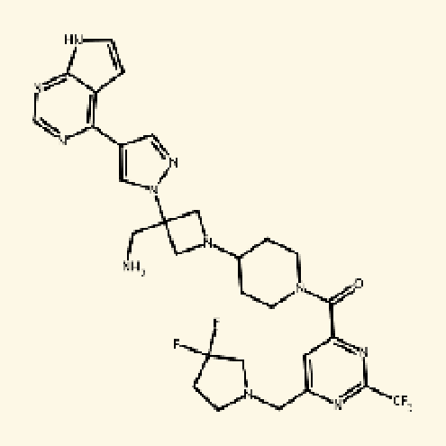 NCC1(n2cc(-c3ncnc4[nH]ccc34)cn2)CN(C2CCN(C(=O)c3cc(CN4CCC(F)(F)C4)nc(C(F)(F)F)n3)CC2)C1